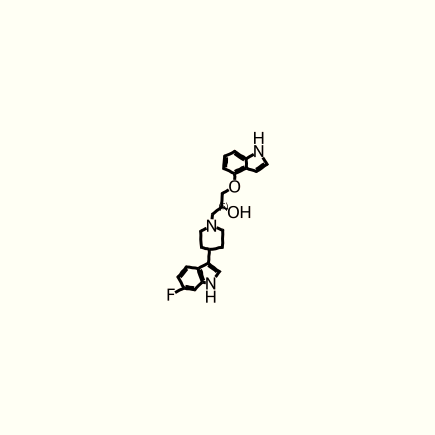 O[C@H](COc1cccc2[nH]ccc12)CN1CCC(c2c[nH]c3cc(F)ccc23)CC1